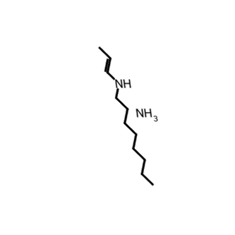 C/C=C/NCCCCCCCC.N